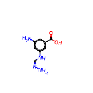 N/N=C\Nc1cc(N)cc(C(=O)O)c1